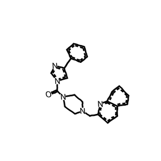 O=C(N1CCN(Cc2ccc3ccccc3n2)CC1)n1cnc(-c2ccccc2)c1